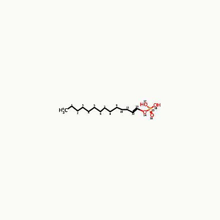 CCCCCCCCCCCCC=COP(=O)(O)O